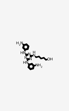 Nc1cccc(Nc2nc(NCCCCCO)nc(Nc3cccc(N)c3)n2)c1